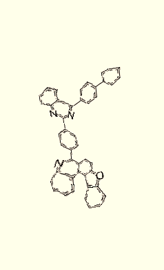 c1ccc(-c2ccc(-c3nc(-c4ccc(-c5nc6ccccc6c6c5ccc5oc7ccccc7c56)cc4)nc4ccccc34)cc2)cc1